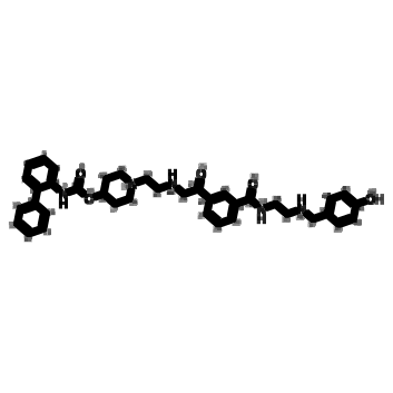 O=C(Nc1ccccc1-c1ccccc1)OC1CCN(CCNCC(=O)c2cccc(C(=O)NCCNCc3ccc(O)cc3)c2)CC1